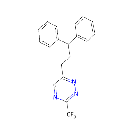 FC(F)(F)c1ncc(CCC(c2ccccc2)c2ccccc2)nn1